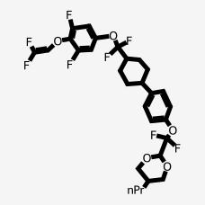 CCCC1COC(C(F)(F)Oc2ccc(C3CCC(C(F)(F)Oc4cc(F)c(OC=C(F)F)c(F)c4)CC3)cc2)OC1